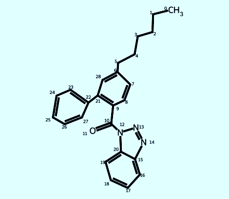 CCCCCCc1ccc(C(=O)n2nnc3ccccc32)c(-c2ccccc2)c1